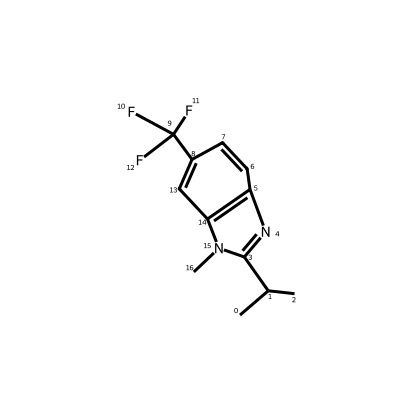 CC(C)c1nc2ccc(C(F)(F)F)cc2n1C